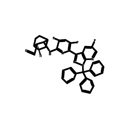 O=C[C@H]1C2CCC(CC2)C1Nc1nc(-c2nn(C(c3ccccc3)(c3ccccc3)c3ccccc3)c3ncc(F)cc23)c(F)cc1F